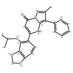 Cc1nn2c(=O)cc(-c3ccc4c(c3OC(C)C)OCO4)[nH]c2c1-c1ccccn1